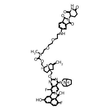 C#Cc1c(F)ccc2cc(O)cc(-c3ncc4c(N5CC6CCC(C5)N6)nc(OC[C@@]56CC[C@@H](COC(=O)N(C)CCOCCOCCNc7ccc8c(c7)C(=O)N(C7CCC(=O)NC7=O)C8=O)N5CC(=C)C6)nc4c3F)c12